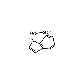 O=S(=O)(O)O.c1cc2cc[nH]c2cn1